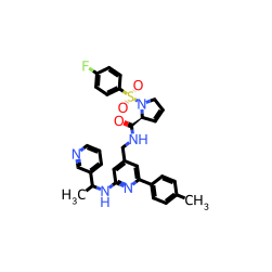 Cc1ccc(-c2cc(CNC(=O)[C@@H]3C=CCN3S(=O)(=O)c3ccc(F)cc3)cc(NC(C)c3cccnc3)n2)cc1